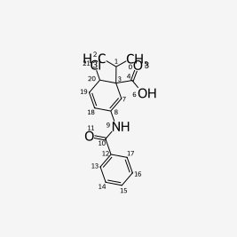 CC(C)C1(C(=O)O)C=C(NC(=O)c2ccccc2)C=CC1Cl